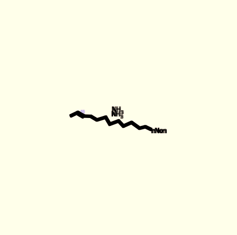 C/C=C/CCCCCCCCCCCCCCCCCC.N.N